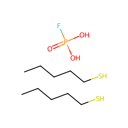 CCCCCS.CCCCCS.O=P(O)(O)F